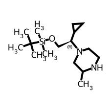 CC1CN([C@@H](CO[Si](C)(C)C(C)(C)C)C2CC2)CCN1